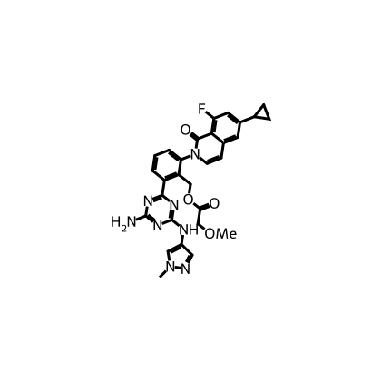 COCC(=O)OCc1c(-c2nc(N)nc(Nc3cnn(C)c3)n2)cccc1-n1ccc2cc(C3CC3)cc(F)c2c1=O